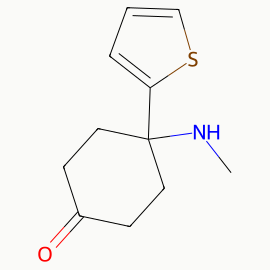 CNC1(c2cccs2)CCC(=O)CC1